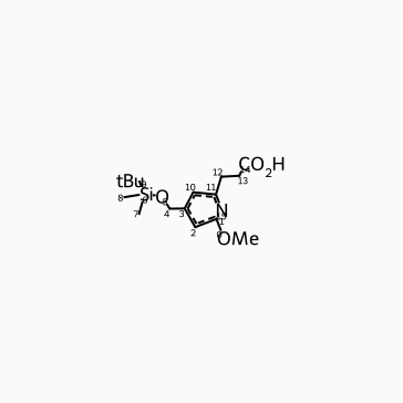 COc1cc(CO[Si](C)(C)C(C)(C)C)cc(CCC(=O)O)n1